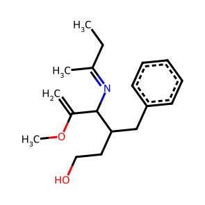 C=C(OC)C(/N=C(\C)CC)C(CCO)Cc1ccccc1